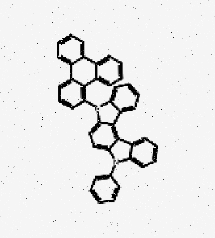 c1ccc(-n2c3ccccc3c3c4c5ccccc5n(-c5cccc6c7ccccc7c7ccccc7c56)c4ccc32)cc1